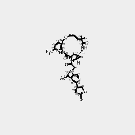 CC(=O)c1nn(CC(=O)N2[C@H]3C[C@@]4(CNC(=O)C(C)(C)/C=C/COCc5ccc(C(F)(F)F)nc5NC3=O)C[C@@H]24)c2cnc(-c3cnc(C)nc3)cc12